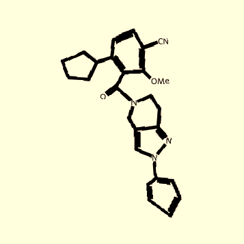 COc1c(C#N)ccc(C2CCCC2)c1C(=O)N1CCc2nn(-c3ccccc3)cc2C1